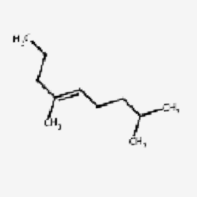 CCCC(C)=CCCC(C)C